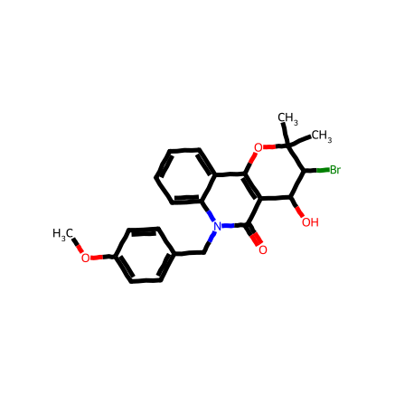 COc1ccc(Cn2c(=O)c3c(c4ccccc42)OC(C)(C)C(Br)C3O)cc1